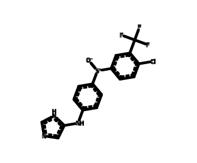 [O-][S+](c1ccc(Nc2cnc[nH]2)cc1)c1ccc(Cl)c(C(F)(F)F)c1